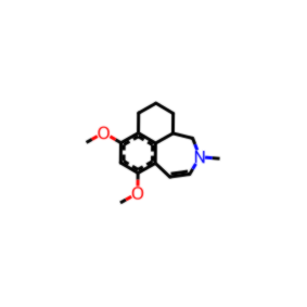 COc1cc(OC)c2c3c1C=CN(C)CC3CCC2